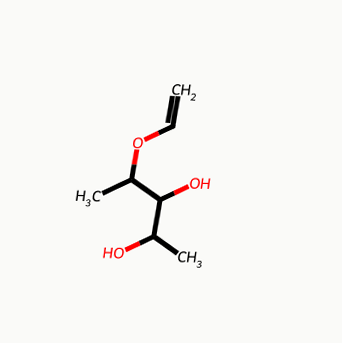 C=COC(C)C(O)C(C)O